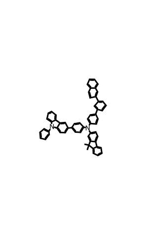 CC1(C)c2ccccc2-c2ccc(N(c3ccc(-c4cccc(-c5ccc6ccccc6c5)c4)cc3)c3ccc(-c4ccc5c(c4)c4ccccc4n5-c4ccccc4)cc3)cc21